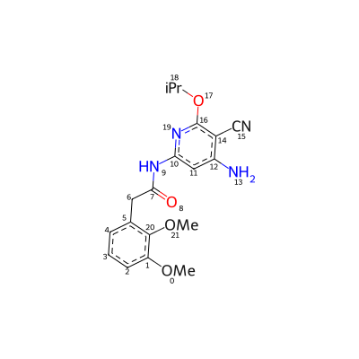 COc1cccc(CC(=O)Nc2cc(N)c(C#N)c(OC(C)C)n2)c1OC